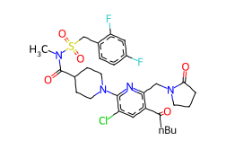 CCCCC(=O)c1cc(Cl)c(N2CCC(C(=O)N(C)S(=O)(=O)Cc3ccc(F)cc3F)CC2)nc1CN1CCCC1=O